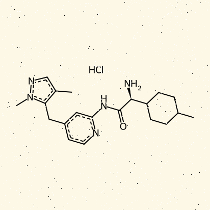 Cc1cnn(C)c1Cc1ccnc(NC(=O)[C@@H](N)C2CCC(C)CC2)c1.Cl